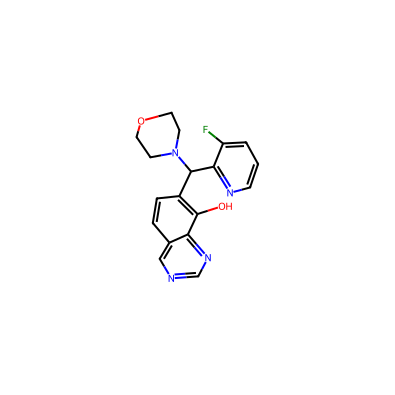 Oc1c(C(c2ncccc2F)N2CCOCC2)ccc2cncnc12